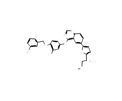 CSC[C@@H](N)c1ccc(-c2ccc3ncnc(Nc4ccc(OCc5cccc(F)c5)c(Cl)c4)c3c2)o1